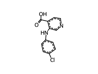 O=C(O)c1ccncc1Nc1ccc(Cl)cc1